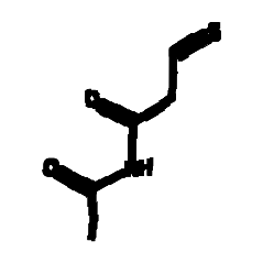 CC(=O)NC(=O)CC=S